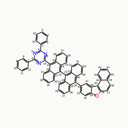 c1ccc(-c2nc(-c3ccccc3)nc(-c3c4ccccc4c(-c4c5ccccc5c(-c5ccc6oc7ccc8ccccc8c7c6c5)c5ccccc45)c4ccccc34)n2)cc1